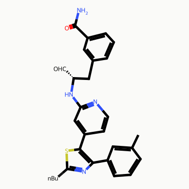 CCCCc1nc(-c2cccc(C)c2)c(-c2ccnc(N[C@H](C=O)Cc3cccc(C(N)=O)c3)c2)s1